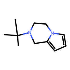 CC(C)(C)N1CCn2cccc2C1